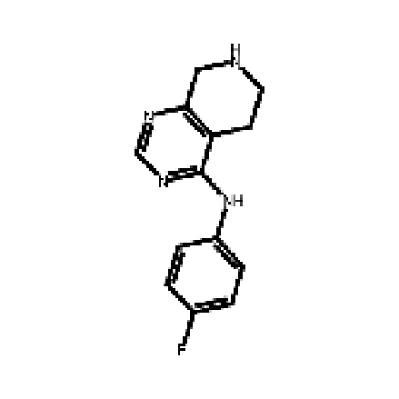 Fc1ccc(Nc2ncnc3c2CCNC3)cc1